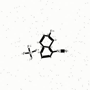 F[B-](F)(F)F.N#[N+]c1cccc2ccc(F)cc12